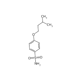 CC(C)CCOc1ccc(S(N)(=O)=O)cc1